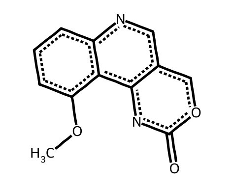 COc1cccc2ncc3coc(=O)nc3c12